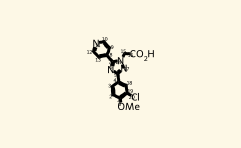 COc1ccc(-c2nc(-c3ccncc3)n(CC(=O)O)n2)cc1Cl